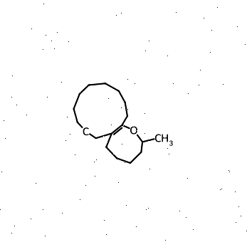 CC1CCCC/C2=C(/CCCCCCCCCC2)O1